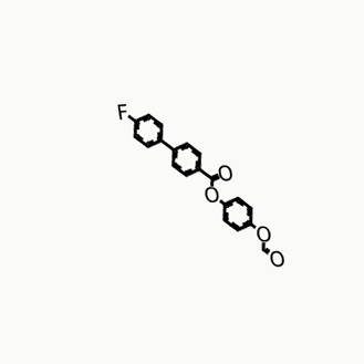 O=COc1ccc(OC(=O)c2ccc(-c3ccc(F)cc3)cc2)cc1